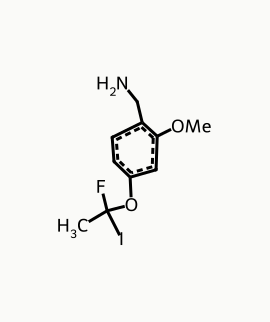 COc1cc(OC(C)(F)I)ccc1CN